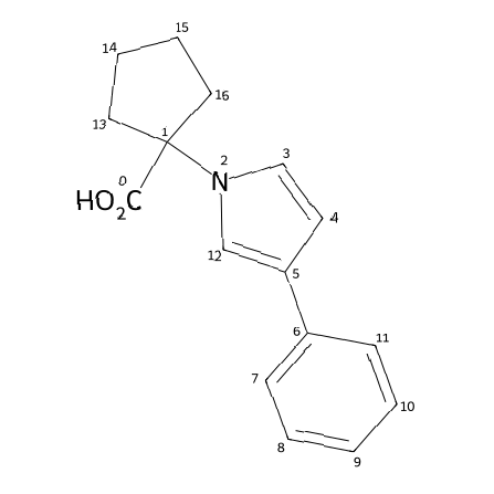 O=C(O)C1(n2ccc(-c3ccccc3)c2)CCCC1